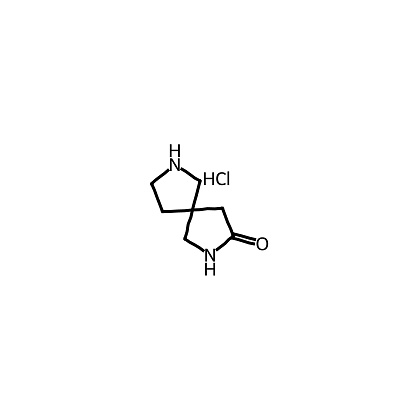 Cl.O=C1CC2(CCNC2)CN1